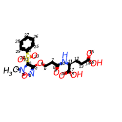 CN1ON=C(OCCC(=O)N[C@@H](CCC(=O)O)C(=O)O)C1S(=O)(=O)c1ccccc1